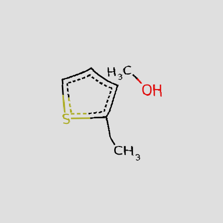 CO.Cc1cccs1